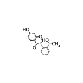 CC(O)c1ccccc1-c1coc2cc(O)ccc2c1=O